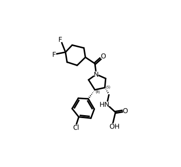 O=C(O)NC[C@H]1CN(C(=O)C2CCC(F)(F)CC2)C[C@H]1c1ccc(Cl)cc1